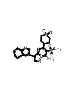 CS(=O)(=O)c1c(C2CCS(=O)(=O)CC2)nc2c(-c3cnc4ccccc4c3)cnn2c1N